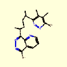 Cc1c(C(C)C)nnc(C(C)CCC(C)c2nnc(C(C)C)c3cccnc23)c1C